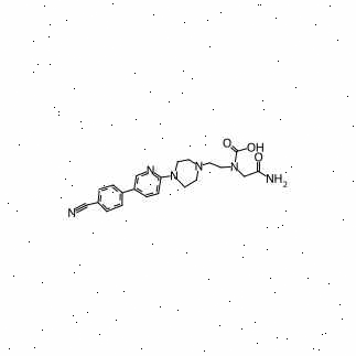 N#Cc1ccc(-c2ccc(N3CCN(CCN(CC(N)=O)C(=O)O)CC3)nc2)cc1